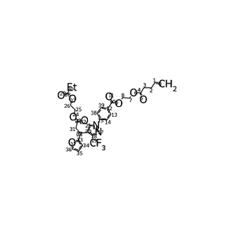 C=CCCC(=O)OCCOC(=O)c1ccc(-n2nc(C(F)(F)F)c3c2O[C@@H](OCCOC(=O)CC)C[C@@H]3c2ccco2)cc1